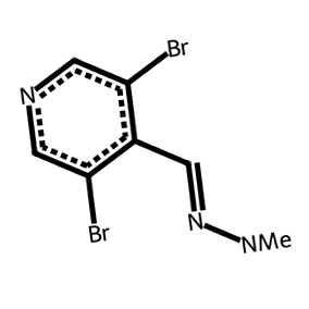 CNN=Cc1c(Br)cncc1Br